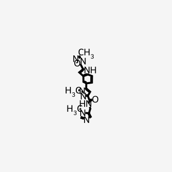 Cc1noc(-c2cc3cc(-c4cc(C(=O)NCc5cncn5C)nn4C)ccc3[nH]2)n1